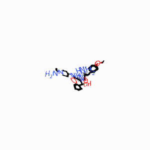 C=C(N)N1CCC(NC(=O)[C@@H](NC(=O)[C@H](N)Cc2ccc(OCC)cc2)[C@H](O)c2ccccc2)CC1